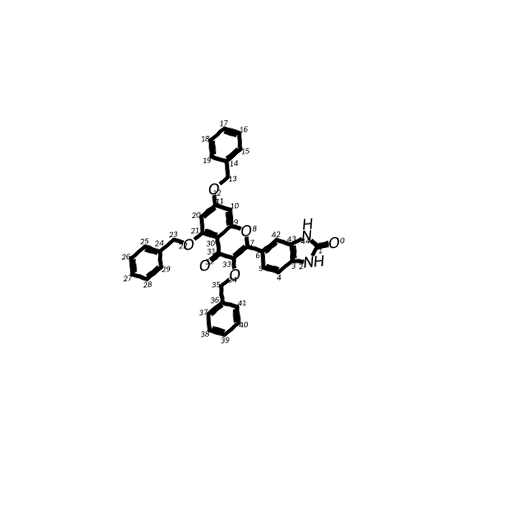 O=c1[nH]c2ccc(-c3oc4cc(OCc5ccccc5)cc(OCc5ccccc5)c4c(=O)c3OCc3ccccc3)cc2[nH]1